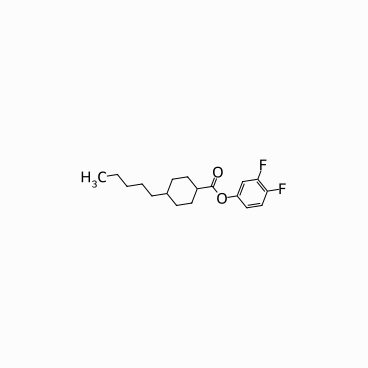 CCCCCC1CCC(C(=O)Oc2ccc(F)c(F)c2)CC1